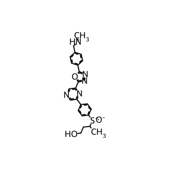 CNCc1ccc(-c2nnc(-c3cncc(-c4ccc([S+]([O-])C(C)CCO)cc4)n3)o2)cc1